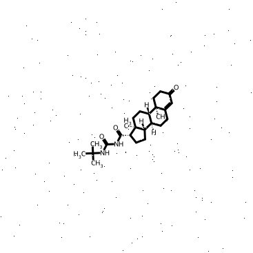 CC(C)(C)NC(=O)NC(=O)[C@H]1CC[C@H]2[C@@H]3CCC4=CC(=O)CC[C@]4(C)[C@H]3CC[C@]12C